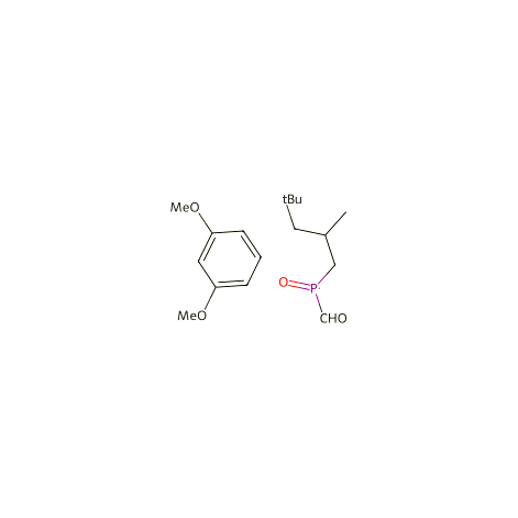 CC(C[P](=O)C=O)CC(C)(C)C.COc1cccc(OC)c1